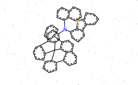 c1ccc(-c2ccc3cccc4c3c2C2(c3ccccc3-c3ccc(N(c5cccc6ccccc56)c5cccc6c5sc5ccccc56)cc32)c2ccccc2-4)cc1